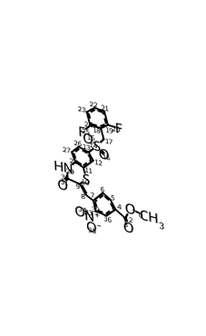 COC(=O)c1ccc(/C=C2\Sc3cc(S(=O)(=O)Cc4c(F)cccc4F)ccc3NC2=O)c([N+](=O)[O-])c1